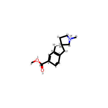 COC(=O)c1ccc2c(c1)C[C@@]1(CCN(C)C1)C2